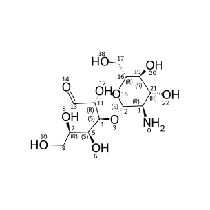 N[C@H]1[C@H](O[C@@H]([C@@H](O)[C@H](O)CO)[C@@H](O)C=O)O[C@H](CO)[C@@H](O)[C@@H]1O